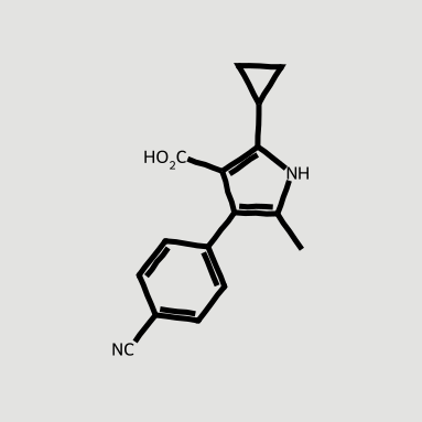 Cc1[nH]c(C2CC2)c(C(=O)O)c1-c1ccc(C#N)cc1